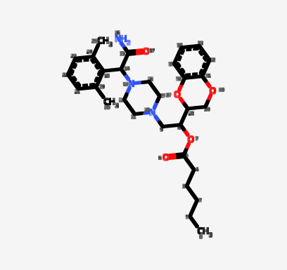 CCCCCC(=O)OC(CN1CCN(C(C(N)=O)c2c(C)cccc2C)CC1)C1COc2ccccc2O1